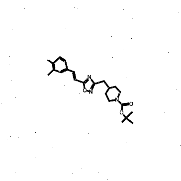 Cc1ccc(/C=C/c2nc(CC3CCN(C(=O)OC(C)(C)C)CC3)no2)cc1C